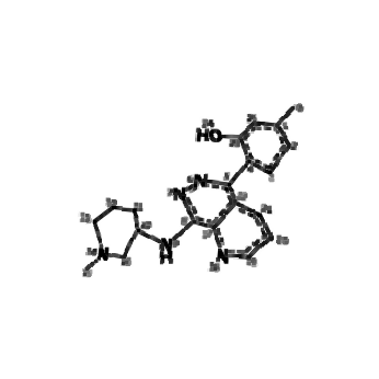 Cc1ccc(-c2nnc(NC3CCCN(C)C3)c3ncccc23)c(O)c1